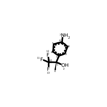 C[C@](O)(c1ccc(N)cc1)C(F)(F)F